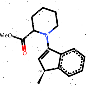 COC(=O)C1CCCCN1C1=C[C@H](C)c2ccccc21